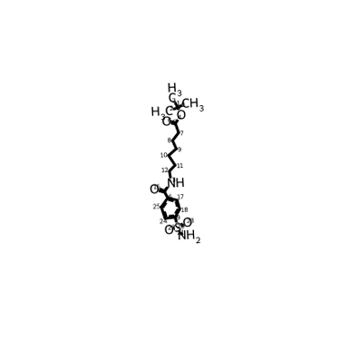 CC(C)(C)OC(=O)CCCCCCNC(=O)c1ccc(S(N)(=O)=O)cc1